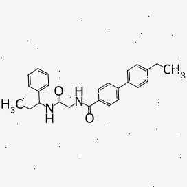 CCc1ccc(-c2ccc(C(=O)NCC(=O)NC(CC)c3ccccc3)cc2)cc1